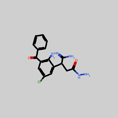 N=C(N)C(CC(=O)NN)c1cc(Cl)cc(C(=O)c2ccccc2)c1N